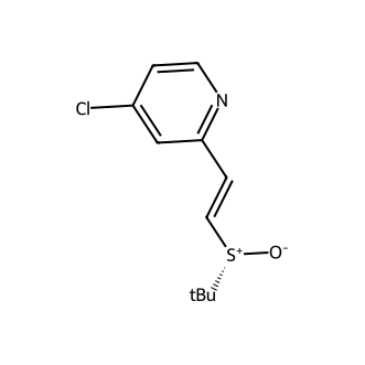 CC(C)(C)[S@@+]([O-])C=Cc1cc(Cl)ccn1